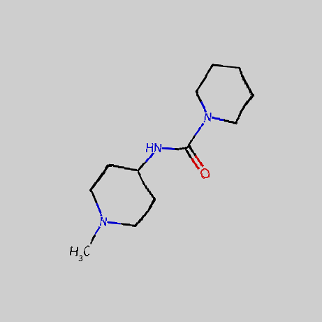 CN1CCC(NC(=O)N2CCCCC2)CC1